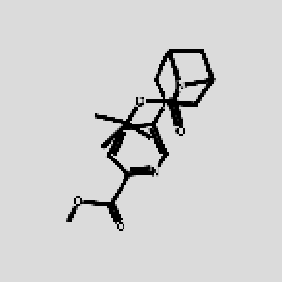 COC(=O)c1ccc(N2CC3CC(C2)N3C(=O)OC(C)(C)C)cn1